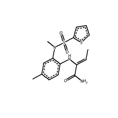 C/C=C(\Nc1ccc(C)cc1N(C)S(=O)(=O)c1cccs1)C(N)=O